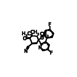 COC1(c2ncc(F)cc2-c2ccc(F)cc2)C=C(C#N)C(=O)C(C)(C)C1